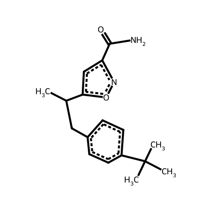 CC(Cc1ccc(C(C)(C)C)cc1)c1cc(C(N)=O)no1